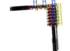 C=COCCNC(=S)S.C=COCCNC(=S)S.C=COCCNC(=S)S.C=COCCNC(=S)S.C=COCCNC(=S)S.C=COCCNC(=S)S.C=COCCNC(=S)S.C=COCCNC(=S)S.C=COCCNC(=S)S.[K+].[K+].[K+].[K+].[K+].[K+].[K+].[K+].[K+].[K+].[K+].[K+].[K+].[K+].[K+].[K+].[K+].[K+].[K+].[K+].[K+].[K+].[K+].[K+].[K+].[K+].[K+].[K+].[K+].[K+].[K+].[K+].[K+].[K+].[K+].[K+].[K+].[K+].[K+].[K+].[K+].[K+].[K+].[K+].[K+].[K+]